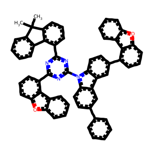 CC1(C)c2ccccc2-c2c(-c3nc(-c4cccc5oc6ccccc6c45)nc(-n4c5ccc(-c6ccccc6)cc5c5cc(-c6cccc7oc8ccccc8c67)ccc54)n3)cccc21